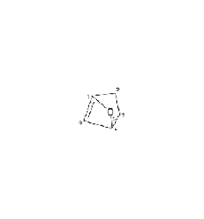 C1=C2CCC1O2